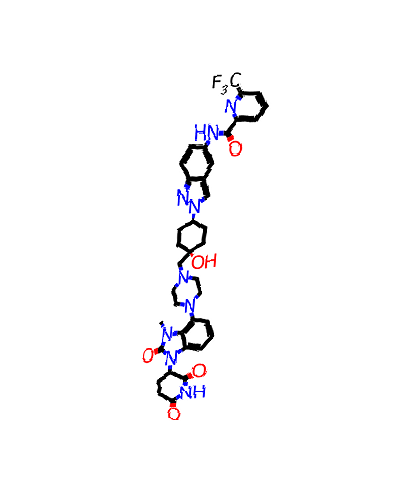 Cn1c(=O)n(C2CCC(=O)NC2=O)c2cccc(N3CCN(C[C@]4(O)CC[C@@H](n5cc6cc(NC(=O)c7cccc(C(F)(F)F)n7)ccc6n5)CC4)CC3)c21